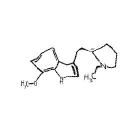 COc1cccc2c(C[C@H]3CCCN3C)c[nH]c12